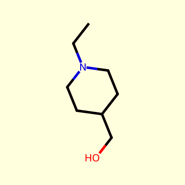 CCN1CCC(CO)CC1